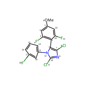 COc1cc(F)c(-c2c(Cl)nc(Cl)n2-c2cccc(F)c2)c(F)c1